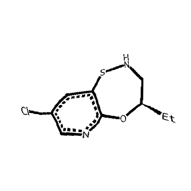 CC[C@@H]1CNSc2cc(Cl)cnc2O1